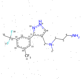 CN(CCCN)Cc1c[nH]nc1-c1cc(C(C)(F)F)cc(C(F)(F)F)c1